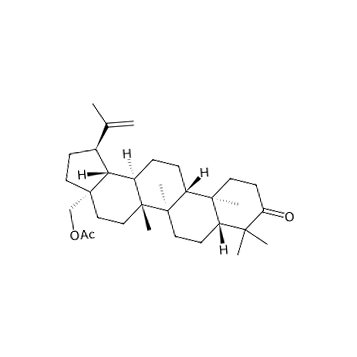 C=C(C)[C@@H]1CC[C@]2(COC(C)=O)CC[C@]3(C)[C@H](CC[C@@H]4[C@@]5(C)CCC(=O)C(C)(C)[C@@H]5CC[C@]43C)[C@@H]12